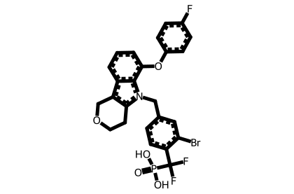 O=P(O)(O)C(F)(F)c1ccc(Cn2c3c(c4cccc(Oc5ccc(F)cc5)c42)COCC3)cc1Br